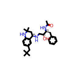 CC(=O)N[C@@H](Cc1ccccc1)[C@H](O)CN[C@@H]1CC(C)(C)Nc2ccc(CC(C)(C)C)cc21